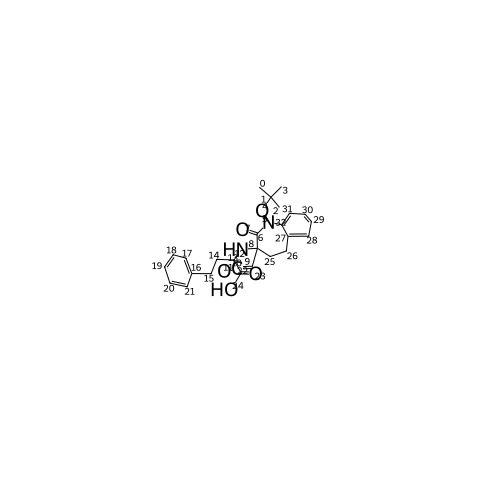 CC(C)(C)ON1C(=O)C(C=C=O)(NC(CCc2ccccc2)C(=O)O)CCc2ccccc21